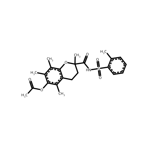 CC(=O)Oc1c(C)c(C)c2c(c1C)CCC(C)(C(=O)NS(=O)(=O)c1ccccc1C)O2